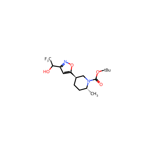 C[C@@H]1CC[C@@H](c2cc(C(O)C(F)(F)F)no2)CN1C(=O)OC(C)(C)C